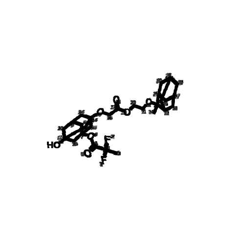 CC(F)(F)C(=O)OC12CC3CC(O)(CC(OCC(=O)OCCOC4(C)C5CC6CC(C5)CC4C6)(C3)C1)C2